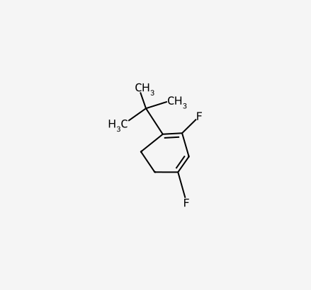 CC(C)(C)C1=C(F)C=C(F)CC1